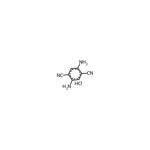 Cl.N#Cc1cc(N)c(C#N)cc1N